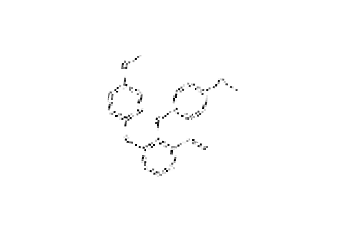 C=Cc1cccc(Sc2ccc(OC)cc2)c1Sc1ccc(OC)cc1